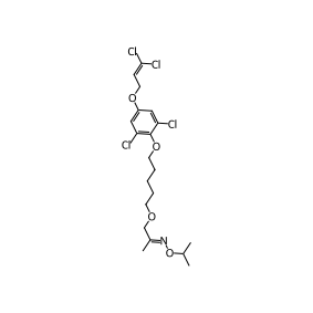 CC(COCCCCCOc1c(Cl)cc(OCC=C(Cl)Cl)cc1Cl)=NOC(C)C